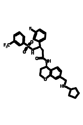 O=C(C[C@@H](NS(=O)(=O)c1cccc(C(F)(F)F)c1)c1cccc(F)c1)N[C@@H]1CCOc2cc(CNC3CCCC3)ccc21